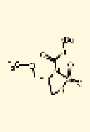 CC(C)(C)OC(=O)N1[C@@H](COC(F)(F)F)COS1(=O)=O